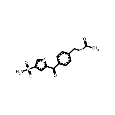 CC(=O)OCc1ccc(C(=O)c2cc(S(N)(=O)=O)cs2)cc1